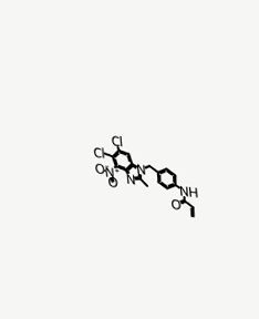 C=CC(=O)Nc1ccc(Cn2c(C)nc3c([N+](=O)[O-])c(Cl)c(Cl)cc32)cc1